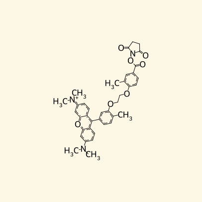 Cc1cc(C(=O)ON2C(=O)CCC2=O)ccc1OCCOc1cc(-c2c3ccc(=[N+](C)C)cc-3oc3cc(N(C)C)ccc23)ccc1C